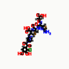 C[C@@H]1S[C@@H]2[C@H](NC(=O)/C(=N\OC(C)(C)C(=O)O)c3csc(N)n3)C(=O)N2C(C(=O)O)=C1C[N+]12CCC(CC1)N(C(=O)C(=O)c1ccc(O)c(O)c1Cl)CC2